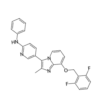 Cc1nc2c(OCc3c(F)cccc3F)cccn2c1-c1ccc(Nc2ccccc2)nc1